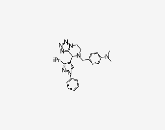 CC(C)c1nn(-c2ccccc2)cc1C1c2nnnn2CCN1Cc1ccc(N(C)C)cc1